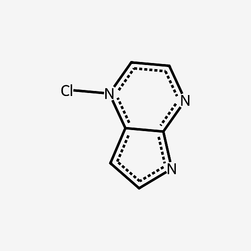 Cln1ccnc2nccc1-2